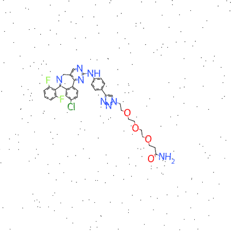 NC(=O)CCOCCOCCOCCn1cc(-c2ccc(Nc3ncc4c(n3)-c3ccc(Cl)cc3C(c3c(F)cccc3F)=NC4)cc2)nn1